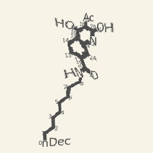 CCCCCCCCCCCCCCCCCCNC(=O)c1ccc2c(O)c(C(C)=O)c(O)nc2c1